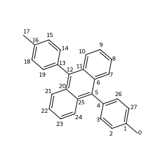 Cc1ccc(-c2c3ccccc3c(-c3ccc(C)cc3)c3ccccc23)cc1